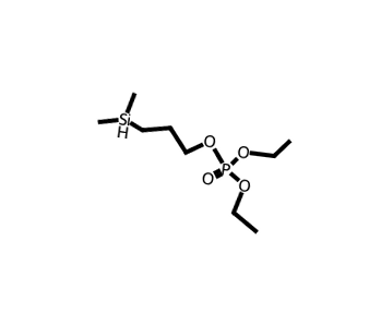 CCOP(=O)(OCC)OCCC[SiH](C)C